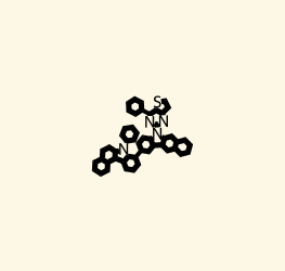 c1ccc(-c2nc(-n3c4ccc(-c5cccc6c7c8ccccc8ccc7n(-c7ccccc7)c56)cc4c4cc5ccccc5cc43)nc3ccsc23)cc1